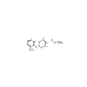 Cc1cccnc1O[C@H]1CC[C@@H](CCO)CC1